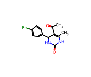 CC(=O)C1=C(C)NC(=O)NC1c1ccc(Br)cc1